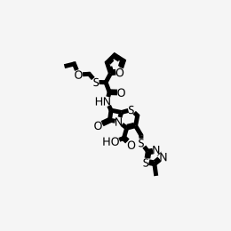 CCOCSC(C(=O)NC1C(=O)N2C(C(=O)O)=C(CSc3nnc(C)s3)CSC12)c1ccco1